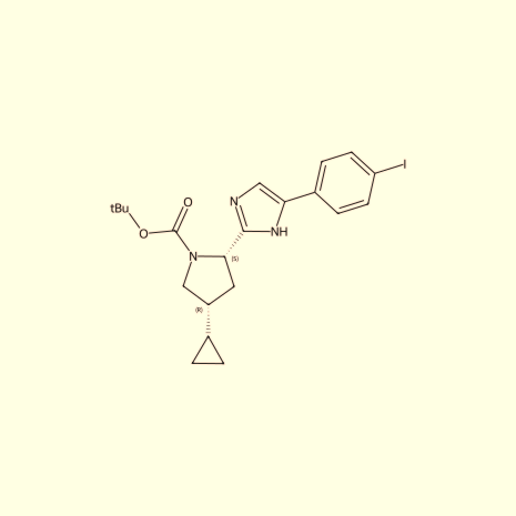 CC(C)(C)OC(=O)N1C[C@@H](C2CC2)C[C@H]1c1ncc(-c2ccc(I)cc2)[nH]1